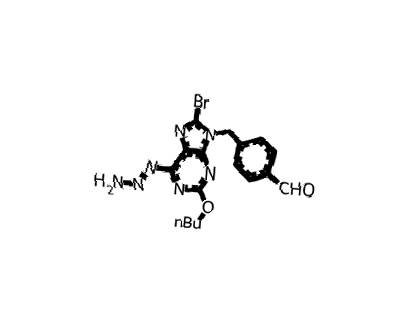 CCCCOc1nc(N=NN)c2nc(Br)n(Cc3ccc(C=O)cc3)c2n1